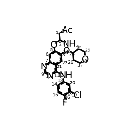 CC(=O)CC(N)Oc1cc2ncnc(Nc3ccc(F)c(Cl)c3)c2cc1OC1CCOCC1